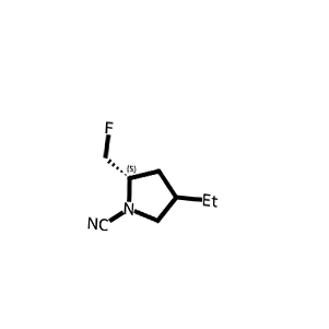 CCC1C[C@@H](CF)N(C#N)C1